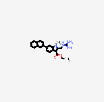 CCOC(=O)c1c(CNC(=N)N)n(C)c2cc(-c3ccc4ccccc4c3)ccc12